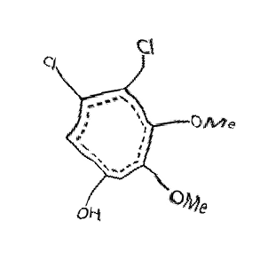 COc1c(O)cc(Cl)c(Cl)c1OC